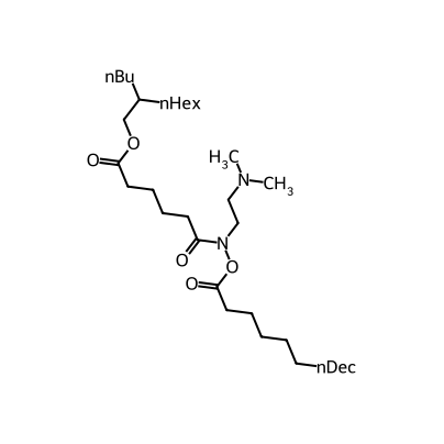 CCCCCCCCCCCCCCCC(=O)ON(CCN(C)C)C(=O)CCCCC(=O)OCC(CCCC)CCCCCC